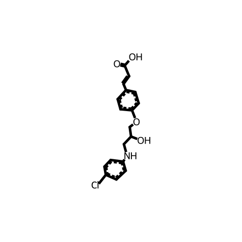 O=C(O)C=Cc1ccc(OCC(O)CNc2ccc(Cl)cc2)cc1